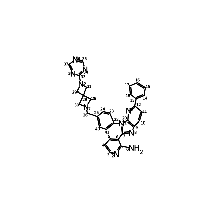 Nc1ncccc1-c1nc2ccc(-c3ccccc3)nc2n1-c1ccc(CN2CC3(C2)CN(c2ncncn2)C3)cc1